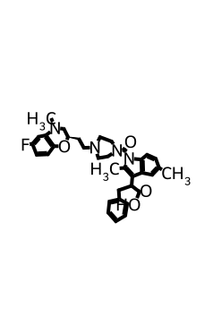 Cc1ccc2c(c1)c(C(Cc1ccccc1)C(=O)O)c(C)n2C(=O)N1CCN(CC[C@@H]2CN(C)c3cc(F)ccc3O2)CC1